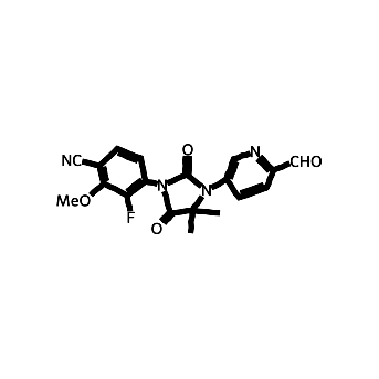 COc1c(C#N)ccc(N2C(=O)N(c3ccc(C=O)nc3)C(C)(C)C2=O)c1F